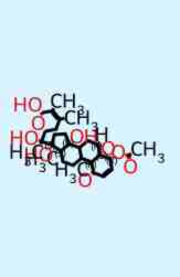 CC(=O)O[C@@H]1C=CC(=O)[C@]2(C)C3CC[C@@]4(C)[C@@](O)(CC[C@@]4(O)C(C)(O)C4CC(C)=C(C)C(O)O4)C3C[C@H]3O[C@]132